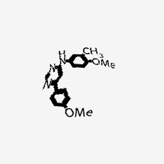 COc1ccc(-c2cc(Nc3ccc(OC)c(C)c3)ncn2)cc1